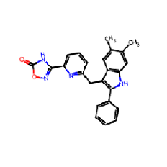 Cc1cc2[nH]c(-c3ccccc3)c(Cc3cccc(-c4noc(=O)[nH]4)n3)c2cc1C